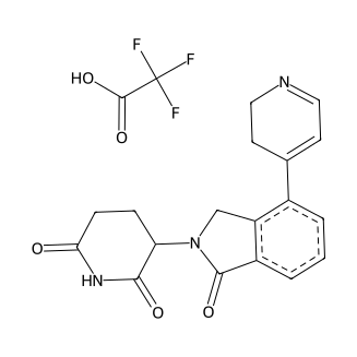 O=C(O)C(F)(F)F.O=C1CCC(N2Cc3c(cccc3C3=CC=NCC3)C2=O)C(=O)N1